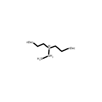 CCCCCCCCCCCC[SiH](CCCCCCCCCCCC)[SiH2][SiH3]